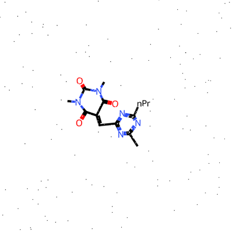 CCCc1nc(C)nc(C=C2C(=O)N(C)C(=O)N(C)C2=O)n1